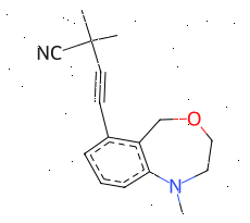 CN1CCOCc2c(C#CC(C)(C)C#N)cccc21